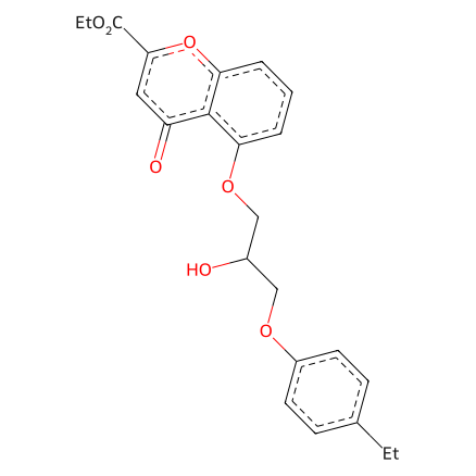 CCOC(=O)c1cc(=O)c2c(OCC(O)COc3ccc(CC)cc3)cccc2o1